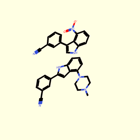 CN1CCN(c2cccc3[nH]c(-c4cccc(C#N)c4)cc23)CC1.N#Cc1cccc(-c2c[nH]c3cccc([N+](=O)[O-])c23)c1